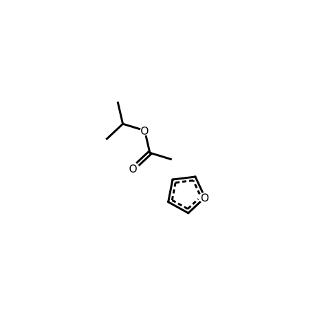 CC(=O)OC(C)C.c1ccoc1